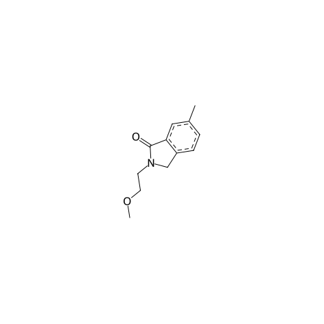 COCCN1Cc2ccc(C)cc2C1=O